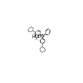 C/C=C(\C=C/C(C)N(c1ccccc1)c1ccc(C2CCCCC2)cc1)C1CCCCC1